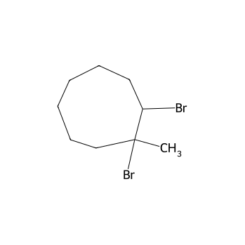 CC1(Br)CCCCCCC1Br